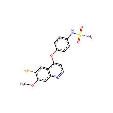 COc1cc2nccc(Oc3ccc(NS(N)(=O)=O)cc3)c2cc1P